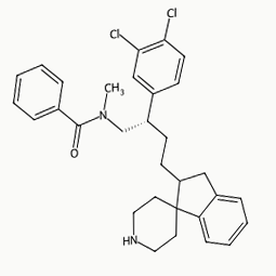 CN(C[C@@H](CCC1Cc2ccccc2C12CCNCC2)c1ccc(Cl)c(Cl)c1)C(=O)c1ccccc1